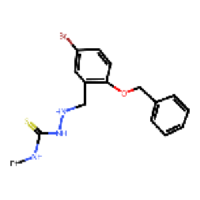 CCNC(=S)NNCc1cc(Br)ccc1OCc1ccccc1